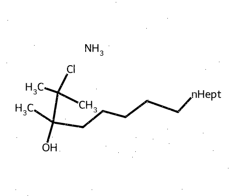 CCCCCCCCCCCCC(C)(O)C(C)(C)Cl.N